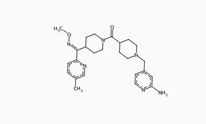 CON=C(c1ccc(C)cn1)C1CCN(C(=O)C2CCN(Cc3ccnc(N)c3)CC2)CC1